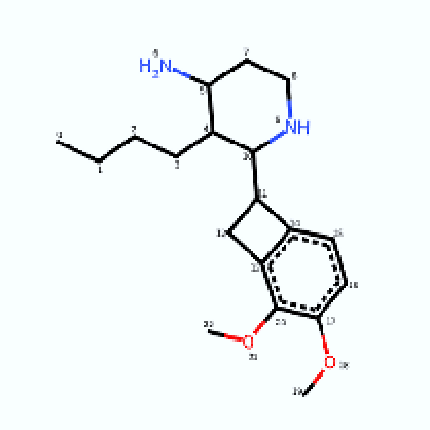 CCCCC1C(N)CCNC1C1Cc2c1ccc(OC)c2OC